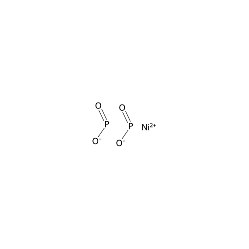 O=P[O-].O=P[O-].[Ni+2]